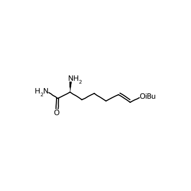 CC(C)CO/C=C/CCC[C@H](N)C(N)=O